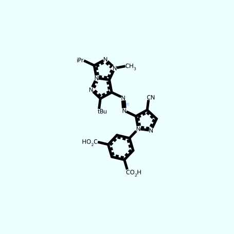 CC(C)c1nn(C)c2c(/N=N/c3c(C#N)cnn3-c3cc(C(=O)O)cc(C(=O)O)c3)c(C(C)(C)C)nn12